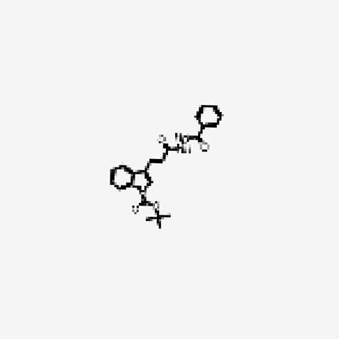 CC(C)(C)OC(=O)n1cc(C=CC(=O)NNC(=O)c2ccccc2)c2ccccc21